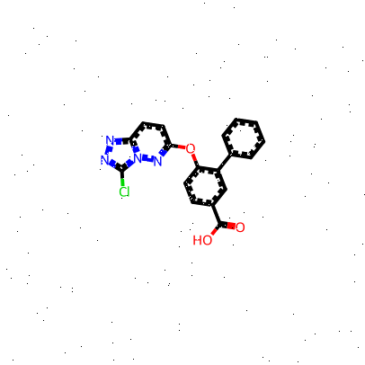 O=C(O)c1ccc(Oc2ccc3nnc(Cl)n3n2)c(-c2ccccc2)c1